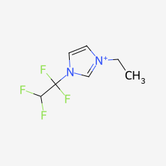 CC[n+]1ccn(C(F)(F)C(F)F)c1